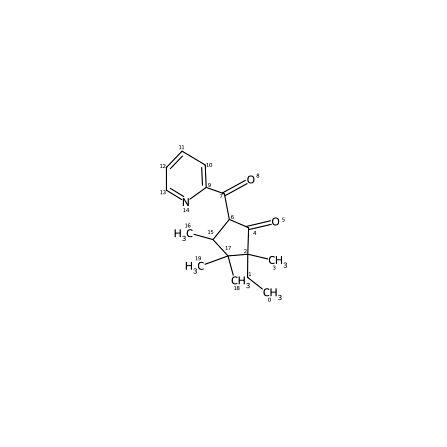 CCC1(C)C(=O)C(C(=O)c2ccccn2)C(C)C1(C)C